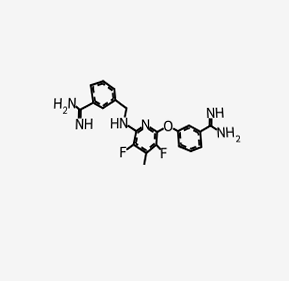 Cc1c(F)c(NCc2cccc(C(=N)N)c2)nc(Oc2cccc(C(=N)N)c2)c1F